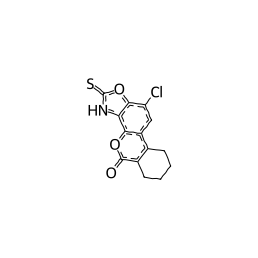 O=c1oc2c(cc(Cl)c3oc(=S)[nH]c32)c2c1CCCC2